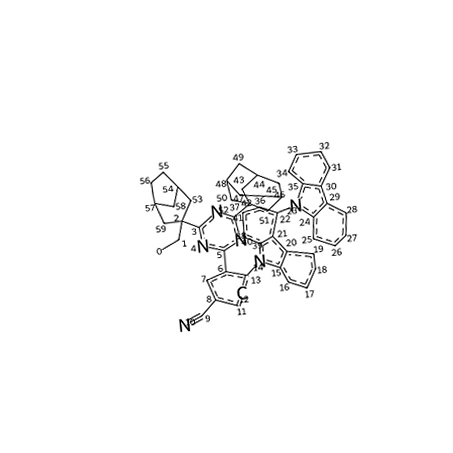 CCC1(c2nc(-c3cc(C#N)ccc3-n3c4ccccc4c4c(-n5c6ccccc6c6ccccc65)cccc43)nc(C34CC5CC(CC(C5)C3)C4)n2)CC2CCC(C2)C1